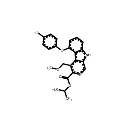 COCc1c(C(=O)OC(C)C)ncc2[nH]c3cccc(Oc4ccc(Cl)cc4)c3c12